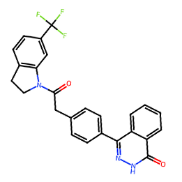 O=C(Cc1ccc(-c2n[nH]c(=O)c3ccccc23)cc1)N1CCc2ccc(C(F)(F)F)cc21